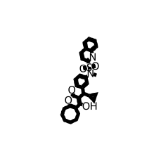 CN(c1cccc(C(c2c(O)c3c(oc2=O)CCCCCC3)C2CC2)c1)S(=O)(=O)c1ccc2ccccc2n1